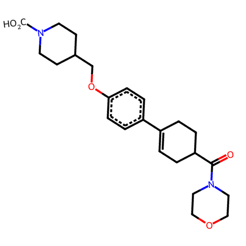 O=C(O)N1CCC(COc2ccc(C3=CCC(C(=O)N4CCOCC4)CC3)cc2)CC1